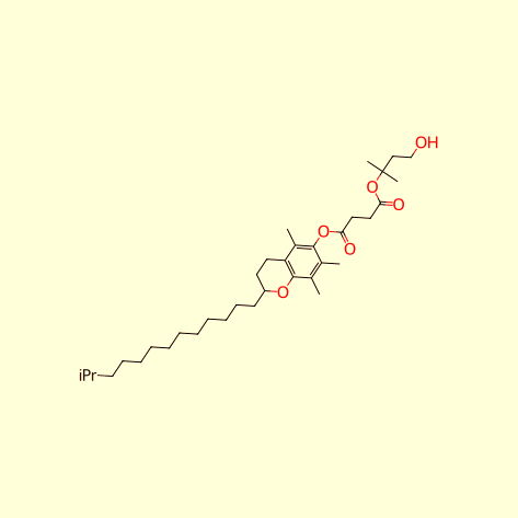 Cc1c(C)c2c(c(C)c1OC(=O)CCC(=O)OC(C)(C)CCO)CCC(CCCCCCCCCCCC(C)C)O2